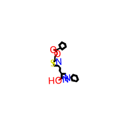 O=C(OCc1nc(C=Cc2cn(-c3ccccc3)nc2O)cs1)c1ccccc1